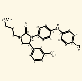 CSCCCN1CC(c2cccc(C(F)(F)F)c2)N(c2ccc(Oc3ccc(Cl)cc3)cc2)C1=O